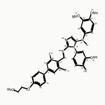 COCCOc1ccc(-c2cc(F)c(CSc3ncc(N(C)c4ccc(OC)c(OC)c4)n3-c3ccc(F)c(OC)c3)c(F)c2)cc1